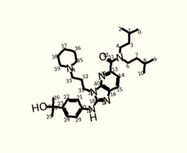 CC(C)CCN(CCC(C)C)C(=O)c1ccc2nc(Nc3ccc(C(C)(C)O)cc3)n(CCCN3CCCCC3)c2n1